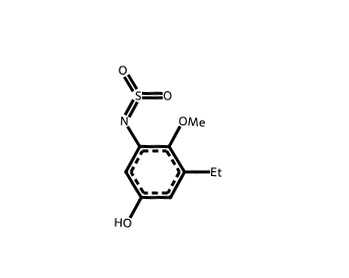 CCc1cc(O)cc(N=S(=O)=O)c1OC